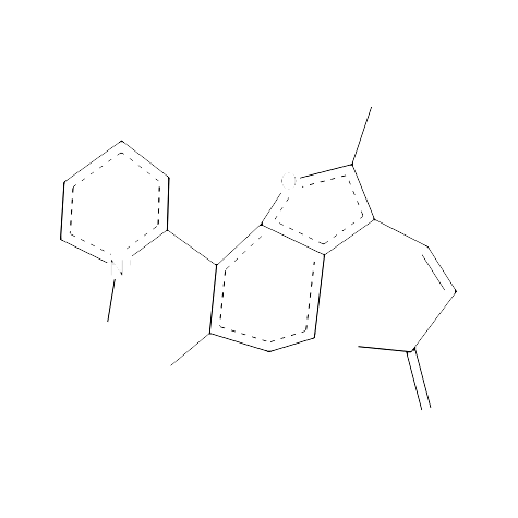 C=C(C)/C=C\c1c(C)oc2c(-c3cccc[n+]3C)c(C)ccc12